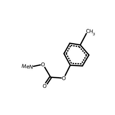 CNOC(=O)Oc1ccc(C)cc1